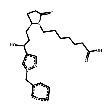 O=C(O)CCCCCCN1C(=O)CC[C@@H]1CCC(O)c1cnn(Cc2ccccc2)c1